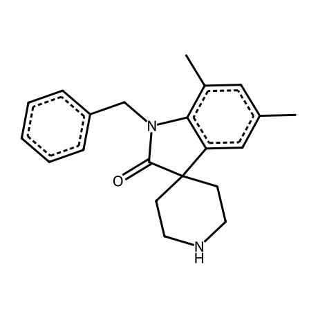 Cc1cc(C)c2c(c1)C1(CCNCC1)C(=O)N2Cc1ccccc1